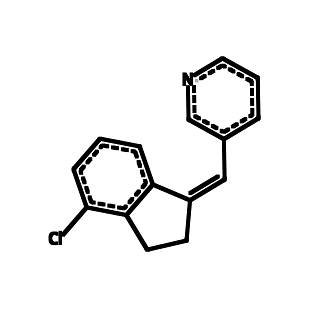 Clc1cccc2c1CC/C2=C/c1cccnc1